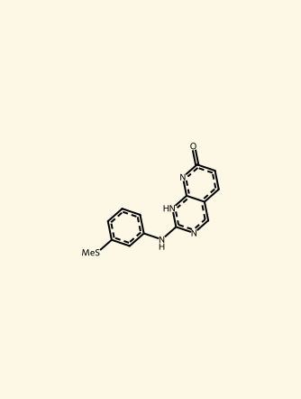 CSc1cccc(Nc2ncc3ccc(=O)nc-3[nH]2)c1